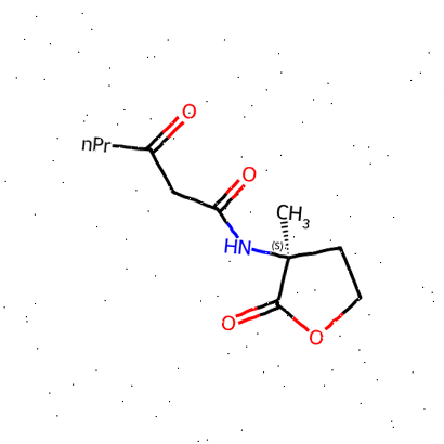 CCCC(=O)CC(=O)N[C@@]1(C)CCOC1=O